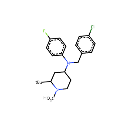 CC(C)(C)C1CC(N(Cc2ccc(Cl)cc2)c2ccc(F)cc2)CCN1C(=O)O